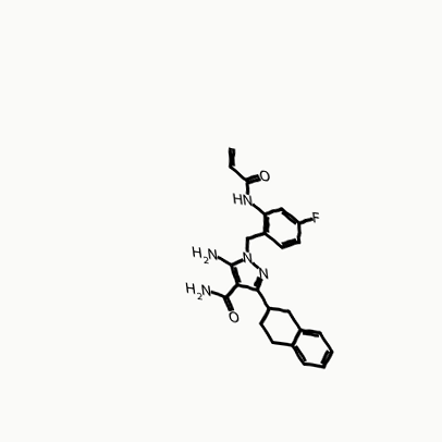 C=CC(=O)Nc1cc(F)ccc1Cn1nc(C2CCc3ccccc3C2)c(C(N)=O)c1N